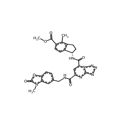 COC(=O)c1ccc2c(c1C)CC[C@@H]2NC(=O)c1cc(C(=O)NCc2ccc3oc(=O)n(C)c3c2)nc2nnnn12